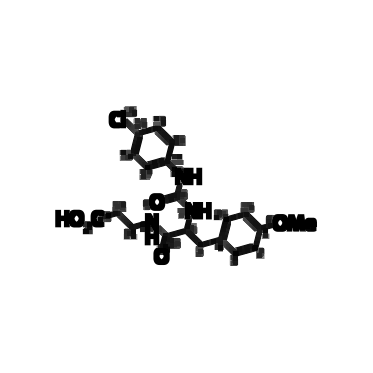 COc1ccc(CC(NC(=O)Nc2ccc(Cl)cc2)C(=O)NCCC(=O)O)cc1